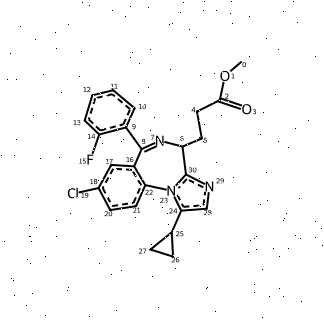 COC(=O)CCC1N=C(c2ccccc2F)c2cc(Cl)ccc2-n2c(C3CC3)cnc21